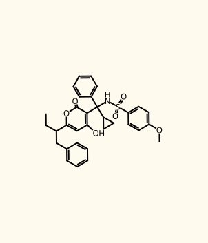 CCC(Cc1ccccc1)c1cc(O)c(C(NS(=O)(=O)c2ccc(OC)cc2)(c2ccccc2)C2CC2)c(=O)o1